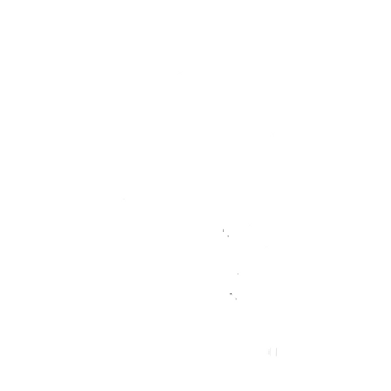 COc1cccc(CCOc2ccc(C(=O)N/C(=C\c3ccc(C)cc3)C(=O)NCCO)cc2)c1